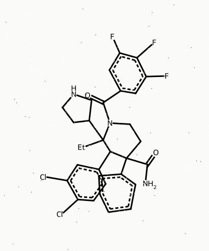 CCC1(C2CCNC2)C(c2ccc(Cl)c(Cl)c2)C(C(N)=O)(c2ccccc2)CCN1C(=O)c1cc(F)c(F)c(F)c1